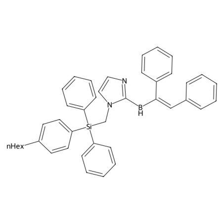 CCCCCCc1ccc([Si](Cn2ccnc2BC(=Cc2ccccc2)c2ccccc2)(c2ccccc2)c2ccccc2)cc1